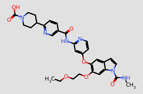 CCOCCOc1cc2c(ccn2C(=O)NC)cc1Oc1ccnc(NC(=O)c2ccc(C3CCN(C(=O)O)CC3)nc2)c1